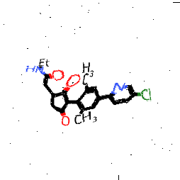 CCNC(=O)CC1CC(=O)C(c2c(C)cc(-c3ccc(Cl)cn3)cc2C)C1=O